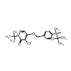 CC(C)(C)n1ncc(OCc2ccc([Si](C)(I)C(C)(C)C)cc2)c(Cl)c1=O